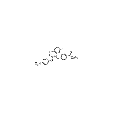 COC(=O)c1ccc(CN(C(=O)Oc2ccc([N+](=O)[O-])cc2)c2cc(C)ccc2Cl)cc1